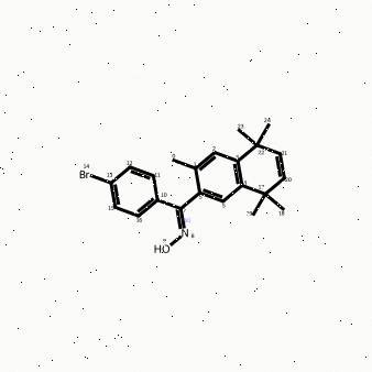 Cc1cc2c(cc1/C(=N/O)c1ccc(Br)cc1)C(C)(C)C=CC2(C)C